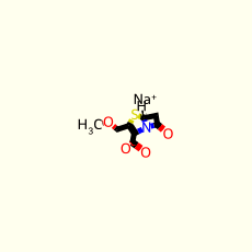 COCC1=C(C(=O)[O-])N2C(=O)C[C@@H]2S1.[Na+]